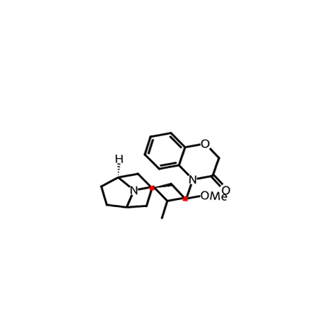 COCC[C@H]1CC2CC[C@@H](C1)N2CC(C)CN1C(=O)COc2ccccc21